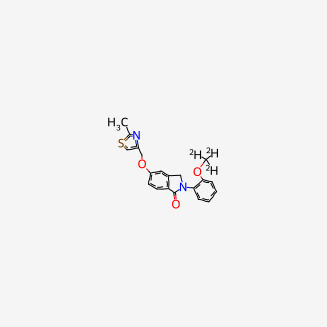 [2H]C([2H])([2H])Oc1ccccc1N1Cc2cc(OCc3csc(C)n3)ccc2C1=O